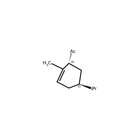 CC(=O)[C@@H]1C[C@@H](C(C)C)CC=C1C